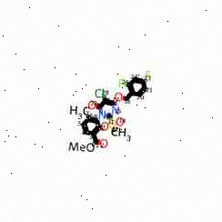 COC(=O)c1ccc(C)c(-n2c(S(C)(=O)=O)nc(OCc3ccc(F)cc3F)c(Cl)c2=O)c1